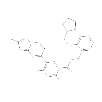 COc1nc(C)c(-c2ccn3nc(N)nc3c2)cc1C(=O)NCc1ncccc1OCC1CCCC1